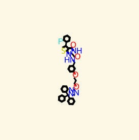 O=C(NCc1cccc(OCCCOc2ncn(C(c3ccccc3)(c3ccccc3)c3ccccc3)n2)c1)c1nc2scc(-c3ccccc3F)c2c(=O)[nH]1